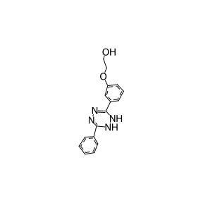 OCCOc1cccc(C2=NN=C(c3ccccc3)NN2)c1